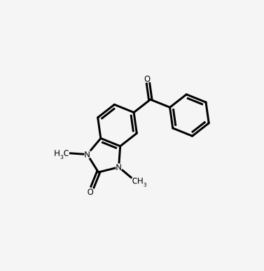 Cn1c(=O)n(C)c2cc(C(=O)c3ccccc3)ccc21